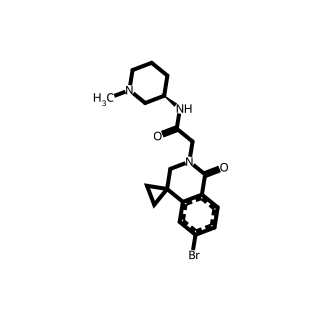 CN1CCC[C@@H](NC(=O)CN2CC3(CC3)c3cc(Br)ccc3C2=O)C1